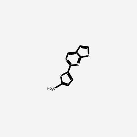 O=C(O)c1ccc(-c2ncc3ccsc3n2)o1